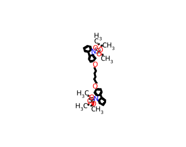 CCO[Si](OCC)(OCC)n1c2ccccc2c2ccc(OCCCCCCOc3ccc4c5ccccc5n([Si](OCC)(OCC)OCC)c4c3)cc21